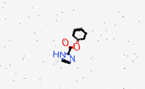 O=C(OC1CCCCC1)c1ncc[nH]1